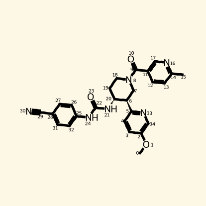 COc1ccc([C@@H]2CN(C(=O)c3ccc(C)nc3)CC[C@H]2NC(=O)Nc2ccc(C#N)cc2)nc1